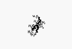 CCCCC(C)(C)c1nc(C(C)CCC)c(C(C)(C)CCCC)[nH]1